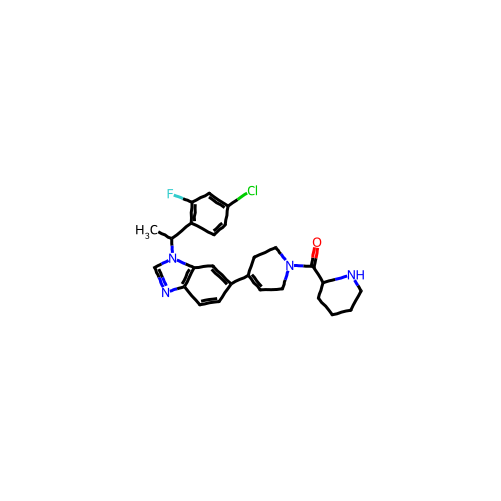 CC(c1ccc(Cl)cc1F)n1cnc2ccc(C3=CCN(C(=O)C4CCCCN4)CC3)cc21